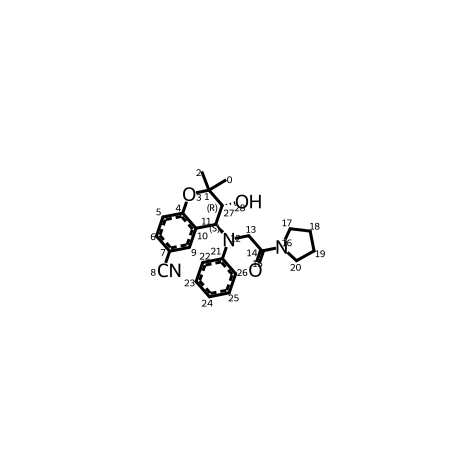 CC1(C)Oc2ccc(C#N)cc2[C@H](N(CC(=O)N2CCCC2)c2ccccc2)[C@H]1O